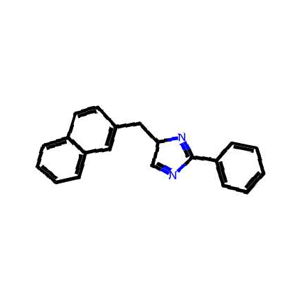 C1=NC(c2ccccc2)=NC1Cc1ccc2ccccc2c1